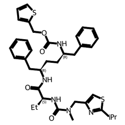 CC[C@H](NC(=O)N(C)Cc1csc(C(C)C)n1)C(=O)N[C@H](CC[C@H](Cc1ccccc1)NC(=O)OCc1cccs1)Cc1ccccc1